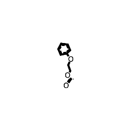 O=[C]OCCOc1ccccc1